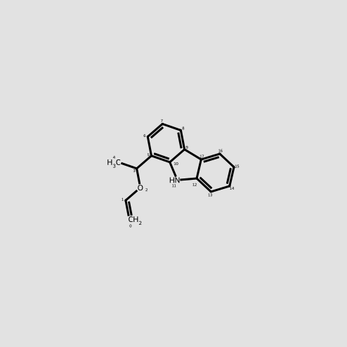 C=COC(C)c1cccc2c1[nH]c1ccccc12